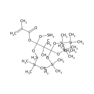 C=C(C)C(=O)OC(O[SiH3])(O[SiH2][Si](C)(C)C)C(C)(C)C(O[Si](C)(C)C)(O[Si](C)(C)C)O[Si](C)(C)[Si](C)(C)C